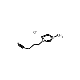 Cn1cc[n+](CCCC#N)c1.[Cl-]